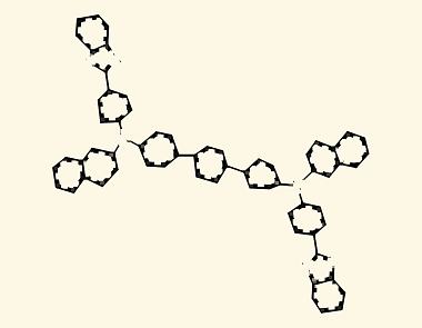 c1ccc2cc(N(c3ccc(-c4ccc(-c5ccc(N(c6ccc(-c7nc8ccccc8s7)cc6)c6ccc7ccccc7c6)cc5)cc4)cc3)c3ccc(-c4nc5ccccc5s4)cc3)ccc2c1